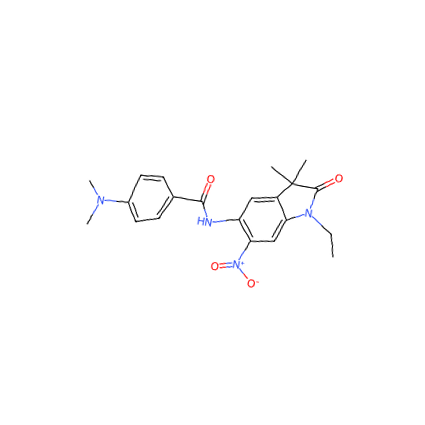 CCN1C(=O)C(C)(C)c2cc(NC(=O)c3ccc(N(C)C)cc3)c([N+](=O)[O-])cc21